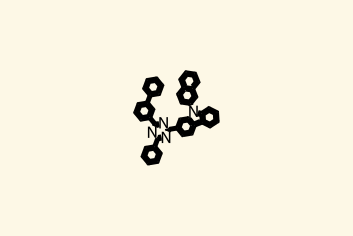 c1ccc(-c2cccc(-c3nc(-c4ccccc4)nc(-c4ccc5c6ccccc6n(-c6ccc7ccccc7c6)c5c4)n3)c2)cc1